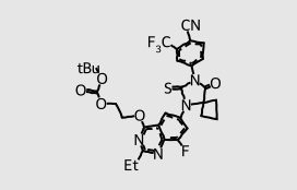 CCc1nc(OCCOC(=O)OC(C)(C)C)c2cc(N3C(=S)N(c4ccc(C#N)c(C(F)(F)F)c4)C(=O)C34CCC4)cc(F)c2n1